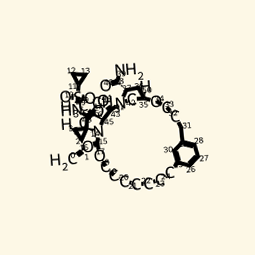 C=C[C@@H]1C[C@@]1(C(=O)NS(=O)(=O)C1CC1)N1C(=O)OCCCCCCCc2cccc(c2)CCCO[C@@H]2C[C@@H](C(N)=O)N(C2)C(=O)[C@@H]1C(C)(C)C